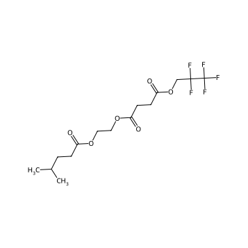 CC(C)CCC(=O)OCCOC(=O)CCC(=O)OCC(F)(F)C(F)(F)F